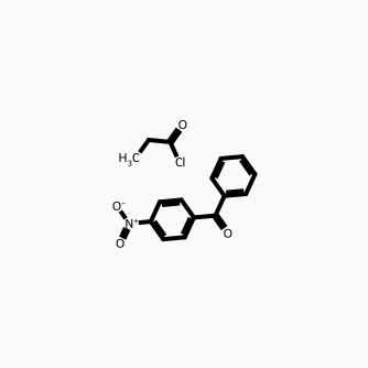 CCC(=O)Cl.O=C(c1ccccc1)c1ccc([N+](=O)[O-])cc1